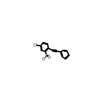 O=[N+]([O-])c1cc(Cl)ccc1C#Cc1ccccc1